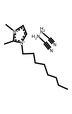 CCCCCCCC[n+]1ccn(C)c1C.N#CN.N#CN